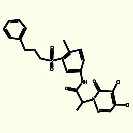 Cc1ccc(NC(=O)C(C)n2ncc(Cl)c(Cl)c2=O)cc1S(=O)(=O)CCCc1ccccc1